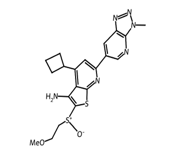 COCC[S+]([O-])c1sc2nc(-c3cnc4c(c3)nnn4C)cc(C3CCC3)c2c1N